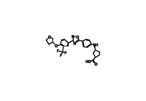 O=C(O)[C@@H]1CC[C@H](Nc2ccc(-c3nc(-c4ccc(OC5CCOC5)c(C(F)(F)F)c4)no3)cc2)C1